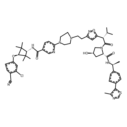 Cc1ncsc1-c1ccc([C@H](C)NC(=O)[C@@H]2C[C@@H](O)CN2C(=O)[C@H](c2cc(CCN3CCN(c4ccc(C(=O)N[C@H]5C(C)(C)[C@H](Oc6ccc(C#N)c(Cl)c6)C5(C)C)cn4)CC3)no2)C(C)C)cc1